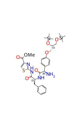 COC(=O)c1csc(NC(=O)[C@H](Cc2ccccc2)NC(=O)[C@H](N)c2ccc(OC[C@@H](CO[Si](C)(C)C)O[Si](C)(C)C)cc2)n1